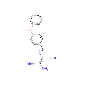 N#C/C(N)=C(C#N)\N=C\c1ccc(Oc2ccccc2)cc1